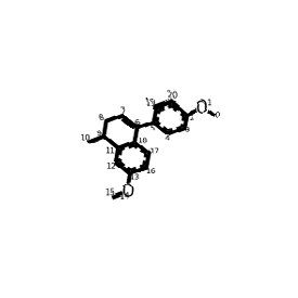 COc1ccc(C2=CCC(C)c3cc(OC)ccc32)cc1